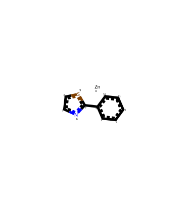 [Zn].c1ccc(-c2nccs2)cc1